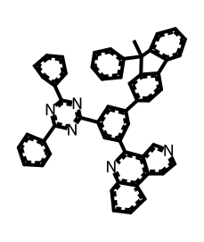 CC1(c2ccccc2)c2ccccc2-c2ccc(-c3cc(-c4nc(-c5ccccc5)nc(-c5ccccc5)n4)cc(-c4nc5ccccc5c5ccncc45)c3)cc21